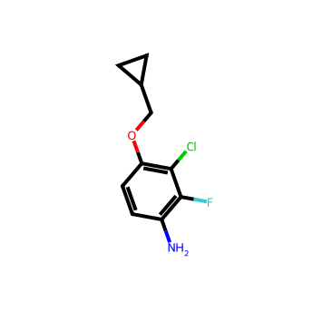 Nc1ccc(OCC2CC2)c(Cl)c1F